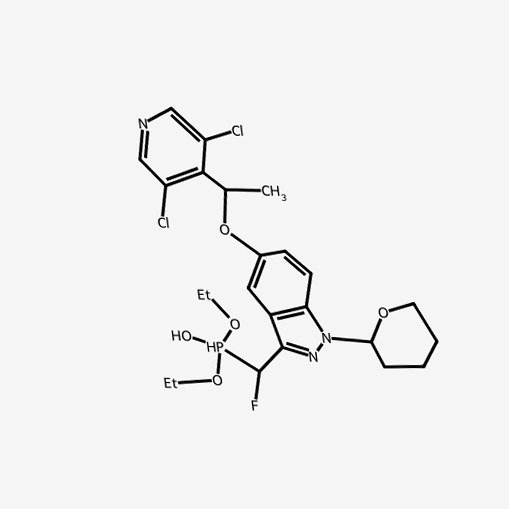 CCO[PH](O)(OCC)C(F)c1nn(C2CCCCO2)c2ccc(OC(C)c3c(Cl)cncc3Cl)cc12